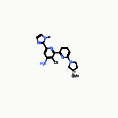 CO[C@H]1CCN(c2cccc(-c3nc(-c4nccn4C)cc(N)c3C#N)n2)C1